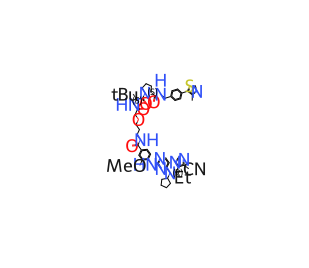 CC[C@@H]1c2c(C#N)ncn2-c2cnc(Nc3ccc(C(=O)NCCCOCC(=O)N[C@H](C(=O)N4CCC[C@H]4C(=O)NCc4ccc(-c5scnc5C)cc4)C(C)(C)C)cc3OC)nc2N1C1CCCC1